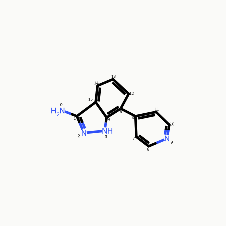 Nc1n[nH]c2c(-c3ccncc3)cccc12